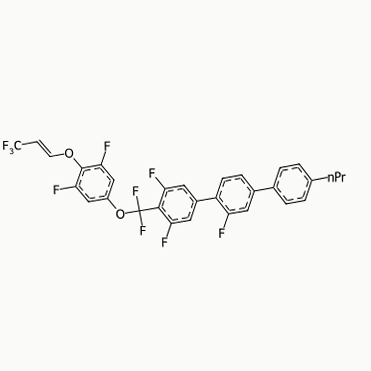 CCCc1ccc(-c2ccc(-c3cc(F)c(C(F)(F)Oc4cc(F)c(O/C=C/C(F)(F)F)c(F)c4)c(F)c3)c(F)c2)cc1